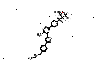 BCNCc1ccc(-c2cc(-c3nc(-c4ccc(S(=O)(=O)C(B)(C(B)(B)B)C(B)(B)B)cc4)cnc3N)on2)cc1